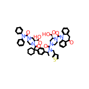 CC(c1ccc(C2(C(=O)N3CCN(C(=O)N(c4ccccc4)c4ccccc4)C[C@H]3C(=O)O)CCCCC2)cc1)N(Cc1ccsc1)C(=O)N1CCN(C(=O)N2c3ccccc3CC(=O)c3ccccc32)[C@H](C(=O)O)C1